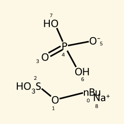 CCCCOS(=O)(=O)O.O=P([O-])(O)O.[Na+]